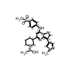 CB(O)N1CCCC(c2cc(Nc3ccc(S(C)(=O)=O)cc3)n3ncc(-c4cnn(C)c4)c3n2)C1